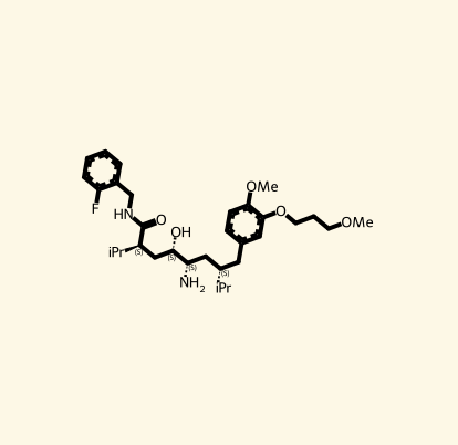 COCCCOc1cc(C[C@@H](C[C@H](N)[C@@H](O)C[C@H](C(=O)NCc2ccccc2F)C(C)C)C(C)C)ccc1OC